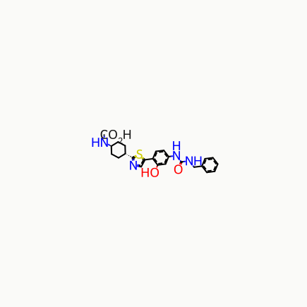 O=C(NCc1ccccc1)Nc1ccc(-c2cnc([C@H]3CC[C@H](NC(=O)O)CC3)s2)c(O)c1